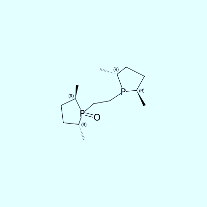 C[C@@H]1CC[C@@H](C)P1CCP1(=O)[C@H](C)CC[C@H]1C